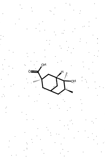 C[C@H]1CC2C[C@H](C[C@](C)(C(=O)O)C2)[C@@]1(C)O